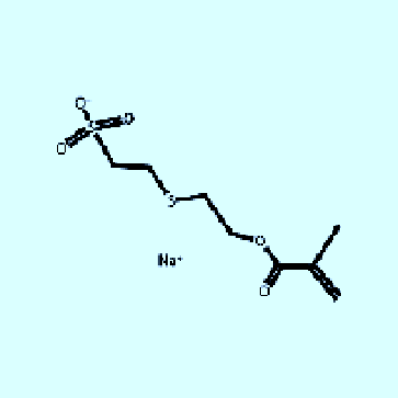 C=C(C)C(=O)OCCSCCS(=O)(=O)[O-].[Na+]